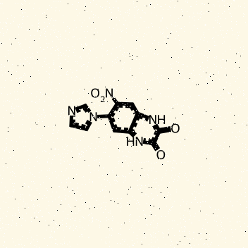 O=c1[nH]c2cc(-n3ccnc3)c([N+](=O)[O-])cc2[nH]c1=O